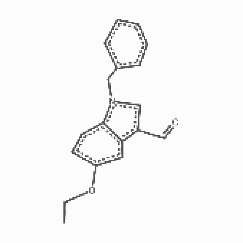 CCOc1ccc2c(c1)c(C=O)cn2Cc1ccccc1